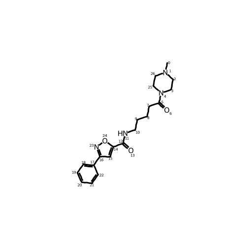 CN1CCN(C(=O)CCCCNC(=O)c2cc(-c3ccccc3)no2)CC1